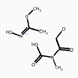 CN(C(=O)O)C(=O)CCl.CO/C(C)=N\O